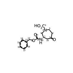 O=C1CCN(C(=O)O)C[C@@H](NC(=O)OCc2ccccc2)C1